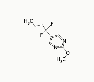 CCCC(F)(F)c1cnc(OC)nc1